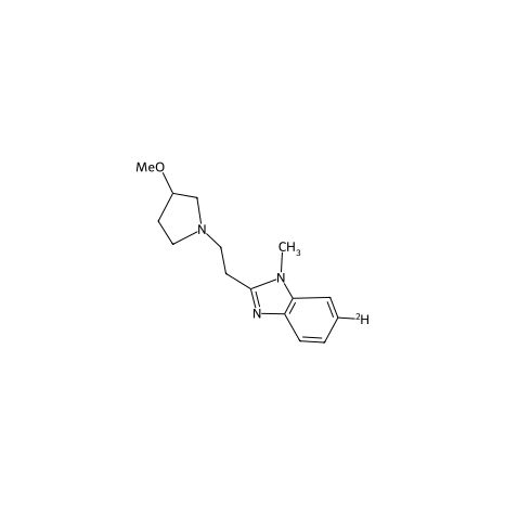 [2H]c1ccc2nc(CCN3CCC(OC)C3)n(C)c2c1